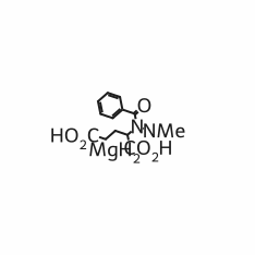 CNN(C(=O)c1ccccc1)C(CCC(=O)O)C(=O)O.[MgH2]